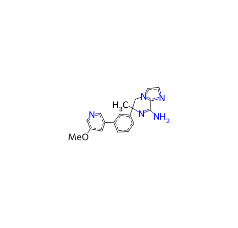 COc1cncc(-c2cccc(C3(C)Cn4ccnc4C(N)=N3)c2)c1